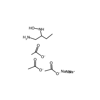 CC(=O)[O-].CC(=O)[O-].CC(=O)[O-].CCC(CN)NO.[Na+].[Na+].[Na+]